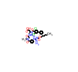 CCCCCCOC(=O)/N=C(\N)Nc1cccc(C(=O)N(C)CC(=O)NC[C@@H](CC(=O)O)NC(=O)c2c(Cl)cc(-c3ccccc3)cc2Cl)c1